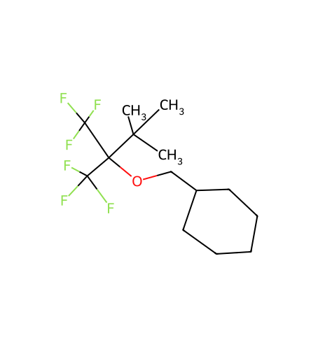 CC(C)(C)C(OCC1CCCCC1)(C(F)(F)F)C(F)(F)F